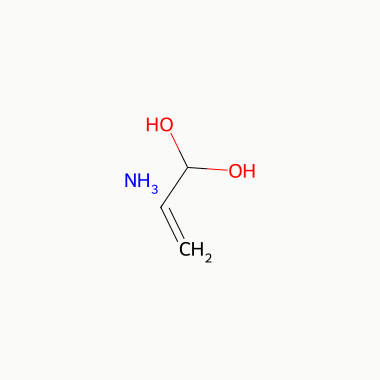 C=CC(O)O.N